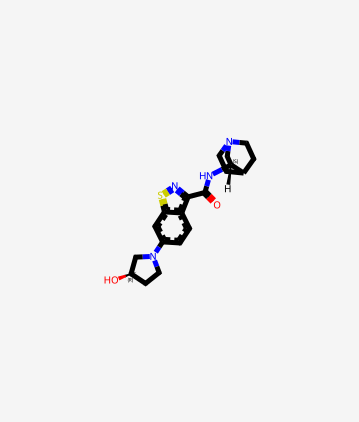 O=C(N[C@@H]1CN2CCC1CC2)c1nsc2cc(N3CC[C@@H](O)C3)ccc12